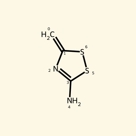 C=C1N=C(N)SS1